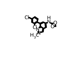 Cn1cc2cc(NC3OCO3)cc(-c3ccc(Cl)cc3Cl)c2n1